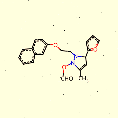 CC1=CC(c2ccco2)N(CCOc2ccc3ccccc3c2)N1OC=O